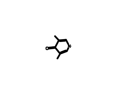 CC1=C[N]C=C(C)C1=O